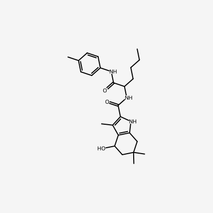 CCCCC(NC(=O)c1[nH]c2c(c1C)C(O)CC(C)(C)C2)C(=O)Nc1ccc(C)cc1